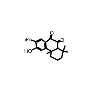 CC(C)c1cc2c(cc1O)C1(C)CCCC(C)(C)C1C(=O)C2=O